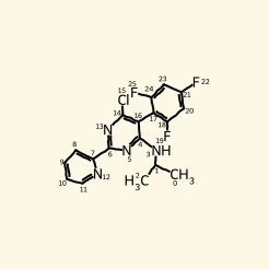 CC(C)Nc1nc(-c2ccccn2)nc(Cl)c1-c1c(F)cc(F)cc1F